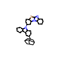 c1ccc2c(c1)nc1sc3ccc(-n4c5ccccc5c5cc(C67CC8CC(CC(C8)C6)C7)ccc54)cc3n12